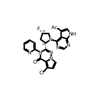 CC(=O)c1c[nH]c2ncnc(N3C[C@@H](F)C[C@H]3c3nn4ccc(Cl)c4c(=O)n3-c3ccccn3)c12